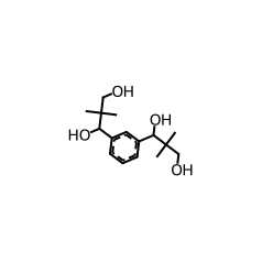 CC(C)(CO)C(O)c1cccc(C(O)C(C)(C)CO)c1